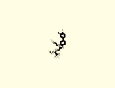 CCOCCn1c(CN[C@@H](C)C(N)=O)nc2ccc(-c3ccc(F)c(F)c3)cc21